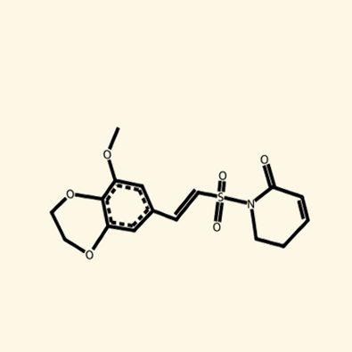 COc1cc(/C=C/S(=O)(=O)N2CCC=CC2=O)cc2c1OCCO2